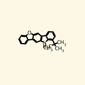 Cn1c2cc3c(cc2c2cccc(C(C)(C)C)c21)oc1ccccc13